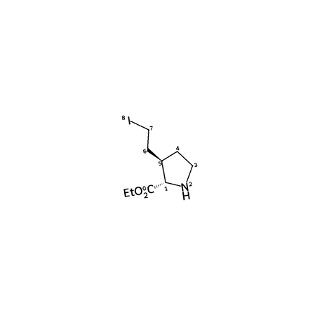 CCOC(=O)[C@H]1NCC[C@@H]1CCI